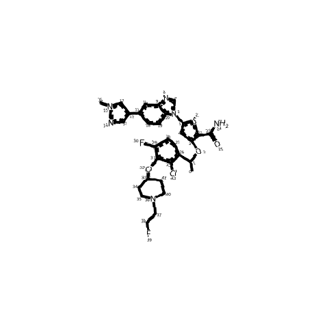 CC(Oc1cc(-n2cnc3cc(-c4cnn(C)c4)ccc32)sc1C(N)=O)c1ccc(F)c(OC2CCN(CCF)CC2)c1Cl